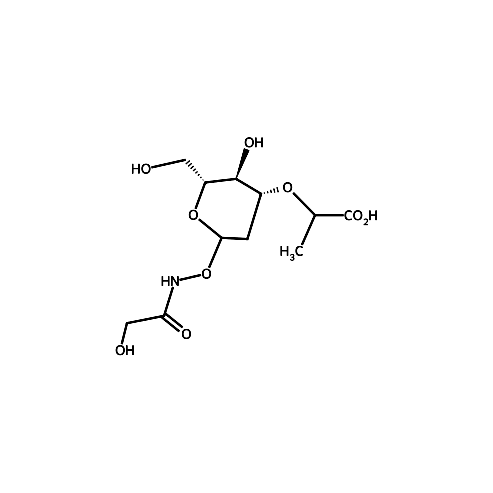 CC(O[C@@H]1CC(ONC(=O)CO)O[C@H](CO)[C@H]1O)C(=O)O